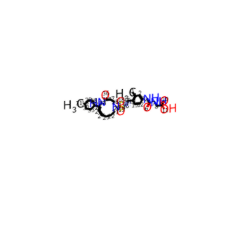 Cc1cc(NC(=O)NCC(=O)O)ccc1/C=C/S(=O)(=O)N1CCCC=C=C(C2CCC(C)CC2)NC(=O)CC1